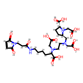 O=C(O)CN(CCN(CC(=O)O)C(CCCCNC(=O)CCN1C(=O)C=CC1=O)C(=O)O)C[C@H]1CC[C@H](C(=O)O)N1CC(=O)O